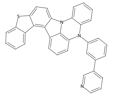 c1cncc(-c2cccc(N3c4ccccc4-n4c5ccc6sc7ccccc7c6c5c5cccc3c54)c2)c1